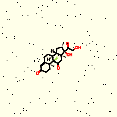 C[C@H]1C[C@H]2[C@@H]3CCC4=CC(=O)CC[C@]4(C)[C@@]3(F)C(=O)C[C@]2(C)[C@@]1(O)C(=O)CO